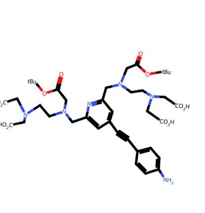 CC(C)(C)OC(=O)CN(CCN(CC(=O)O)CC(=O)O)Cc1cc(C#Cc2ccc(N)cc2)cc(CN(CCN(CC(=O)O)CC(=O)O)CC(=O)OC(C)(C)C)n1